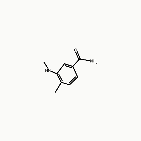 CNc1cc(C(N)=O)ccc1C